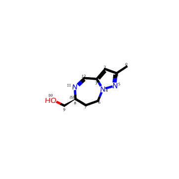 Cc1cc2n(n1)CC[C@@H](CO)N=C2